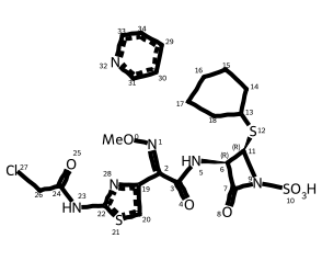 CON=C(C(=O)N[C@@H]1C(=O)N(S(=O)(=O)O)[C@@H]1SC1CCCCC1)c1csc(NC(=O)CCl)n1.c1ccncc1